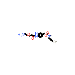 CC(C)C#CCN(C)C(=O)OCc1ccc(NCC(=O)CCOCCN)cc1